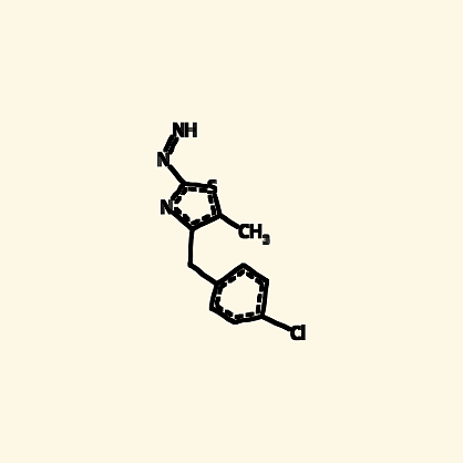 Cc1sc(N=N)nc1Cc1ccc(Cl)cc1